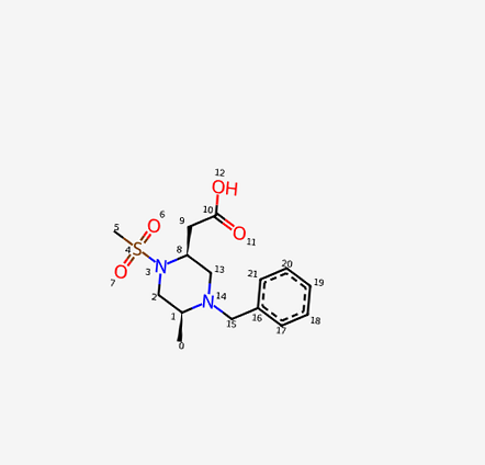 C[C@H]1CN(S(C)(=O)=O)[C@@H](CC(=O)O)CN1Cc1ccccc1